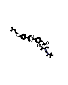 C=C/C(=C\C=C(/C)C(C)(C)C)C(=C)N[C@H](C=O)Cc1ccc(-c2ncc(-c3ccc(OCCCC(C)C)cc3)cn2)cc1